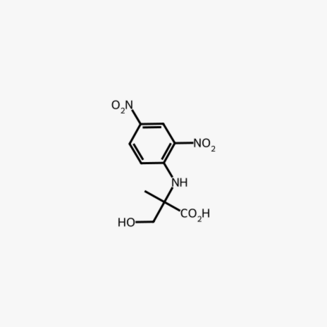 CC(CO)(Nc1ccc([N+](=O)[O-])cc1[N+](=O)[O-])C(=O)O